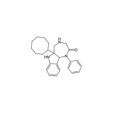 O=C1CNCC2(C3CCCCCCC3)Nc3ccccc3C2N1c1ccccc1